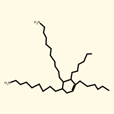 CCCCCCC1=CCC(CCCCCCCCN)C(CCCCCCCCCCN)C1CCCCCC